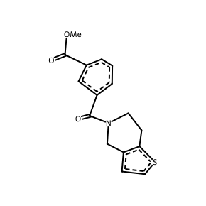 COC(=O)c1cccc(C(=O)N2CCc3sccc3C2)c1